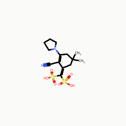 CC1(C)CC(=C(S(=O)(=O)O)S(=O)(=O)O)C(C#N)=C(N2CCCC2)C1